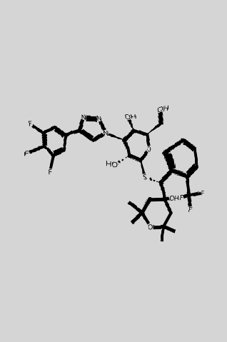 CC1(C)CC(O)([C@H](S[C@@H]2O[C@H](CO)[C@H](O)[C@H](n3cc(-c4cc(F)c(F)c(F)c4)nn3)[C@H]2O)c2ccccc2C(F)(F)F)CC(C)(C)O1